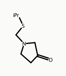 CC(C)SCN1CCC(=O)C1